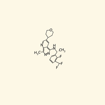 Cc1nnc(N[C@H](C)c2cccc(C(F)F)c2F)c2cc(C3CCOCC3)cnc12